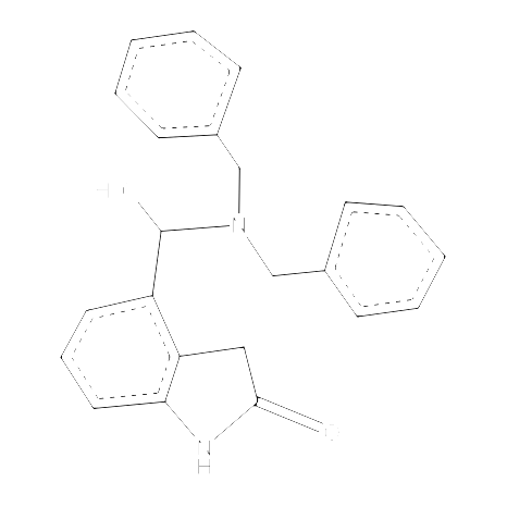 CC(c1cccc2c1CC(=O)N2)N(Cc1ccccc1)Cc1ccccc1